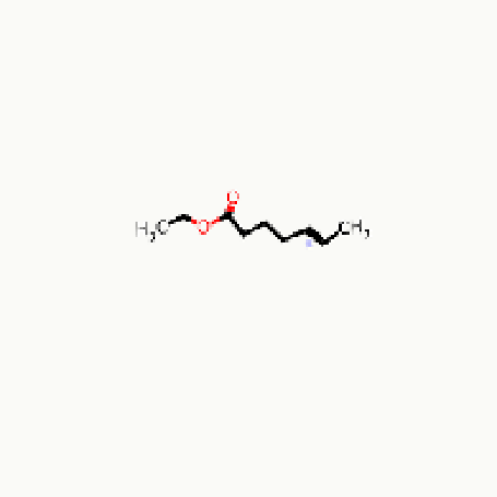 C/C=C/CC[CH]C(=O)OCC